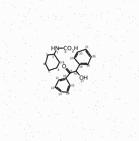 O=C(O)NC1CCCCC1.O=C(c1ccccc1)C(O)c1ccccc1